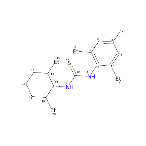 CCc1cc(C)cc(CC)c1NC(=S)NC1C(CC)CCCC1CC